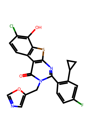 O=c1c2c(nc(-c3ccc(F)cc3C3CC3)n1Cc1cnco1)sc1c(O)c(Cl)ccc12